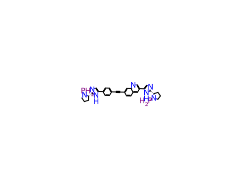 PN1CCC[C@H]1c1ncc(-c2ccc(C#Cc3ccc4cc(-c5cnc([C@@H]6CCCN6P)[nH]5)cnc4c3)cc2)[nH]1